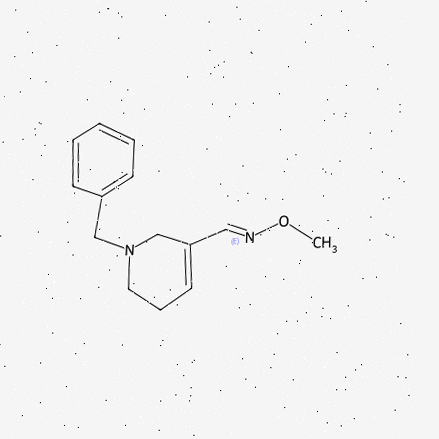 CO/N=C/C1=CCCN(Cc2ccccc2)C1